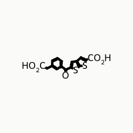 O=C(O)Cc1cccc(C(=O)c2cc3cc(C(=O)O)sc3s2)c1